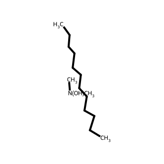 CCCCCCCCCCCC.CN(C)O